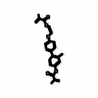 C=C(C)C(=O)O/C=C\Oc1ccc(-c2ccc(OC(=O)C(=C)C)cc2C)cc1